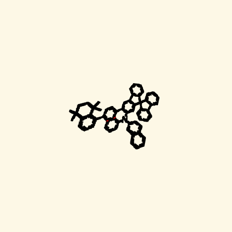 CC1(C)CCC(C)(C)c2c(-c3ccc(-c4cc5c(cc4N(c4ccccc4)c4ccc6ccccc6c4)C4(c6ccccc6-c6ccccc64)c4ccccc4-5)cc3)cccc21